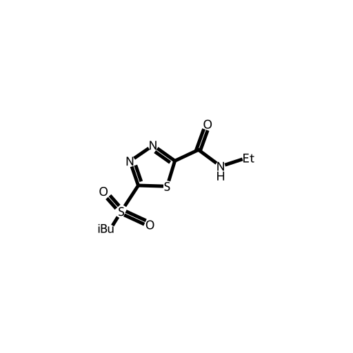 CCNC(=O)c1nnc(S(=O)(=O)C(C)CC)s1